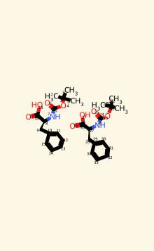 CC(C)(C)OC(=O)N[C@@H](Cc1ccccc1)C(=O)O.CC(C)(C)OC(=O)N[C@@H](Cc1ccccc1)C(=O)O